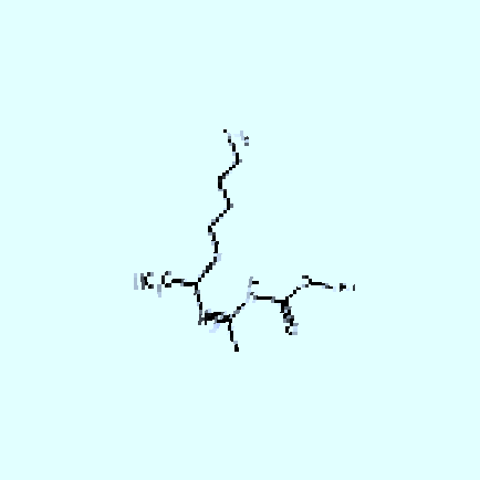 C/C(=N/C(CCCCCN)C(=O)O)NC(=O)OC(C)(C)C